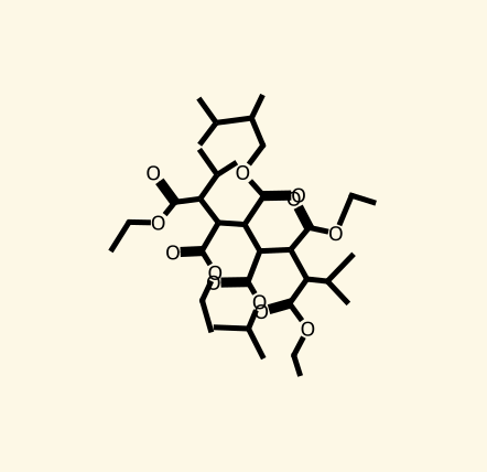 CCOC(=O)C(C(C)C)C(C(=O)OCC)C(C(=O)OCC(C)C(C)C)C(C(=O)OC(C)C)C(C(=O)OCC)C(C(=O)OCC)C(C)C